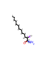 CCCCCCCCCCCC(I)C(N)=O